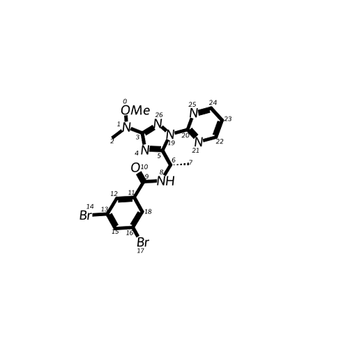 CON(C)c1nc([C@H](C)NC(=O)c2cc(Br)cc(Br)c2)n(-c2ncccn2)n1